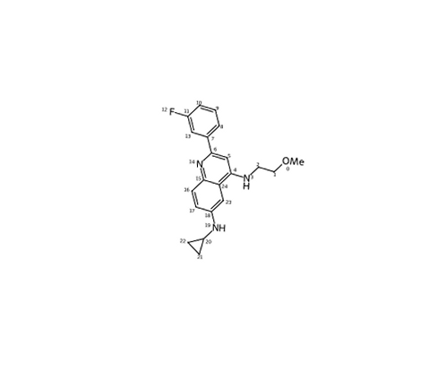 COCCNc1cc(-c2cccc(F)c2)nc2ccc(NC3CC3)cc12